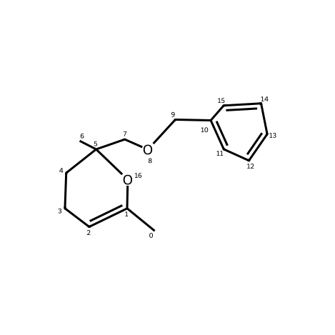 CC1=CCCC(C)(COCc2ccccc2)O1